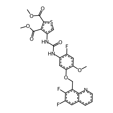 COC(=O)c1scc(NC(=O)Nc2cc(OCc3c(F)c(F)cc4cccnc34)c(OC)cc2F)c1C(=O)OC